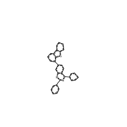 c1ccc(-c2nc(-c3ccccc3)c3ccc(-c4cccc5c4sc4ccccc45)cc3n2)cc1